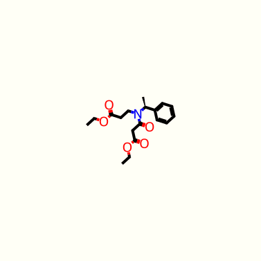 CCOC(=O)CCN(C(=O)CC(=O)OCC)[C@@H](C)c1ccccc1